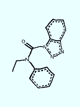 CCN(C(=O)n1nnc2ccccc21)c1ccccc1